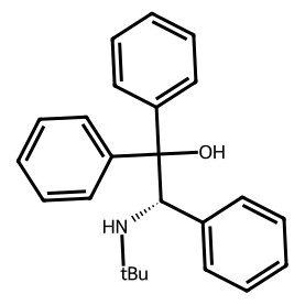 CC(C)(C)N[C@@H](c1ccccc1)C(O)(c1ccccc1)c1ccccc1